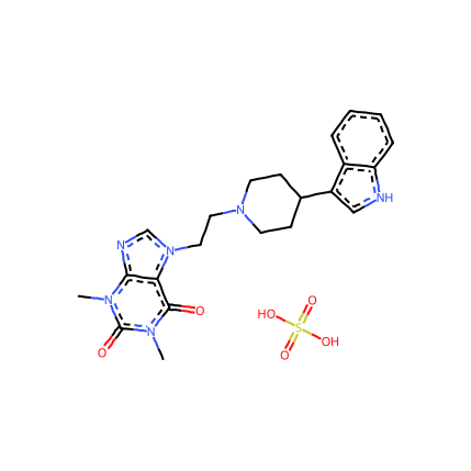 Cn1c(=O)c2c(ncn2CCN2CCC(c3c[nH]c4ccccc34)CC2)n(C)c1=O.O=S(=O)(O)O